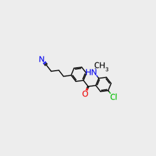 CNc1ccc(Cl)cc1C(=O)c1cccc(CCCC#N)c1